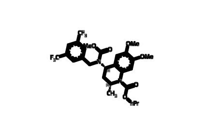 CCCOC(=O)N1c2cc(OC)c(OC)cc2[C@@H](N(Cc2cc(C(F)(F)F)cc(C(F)(F)F)c2)C(=O)OC)C[C@H]1C